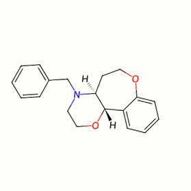 c1ccc(CN2CCO[C@H]3c4ccccc4OCC[C@@H]32)cc1